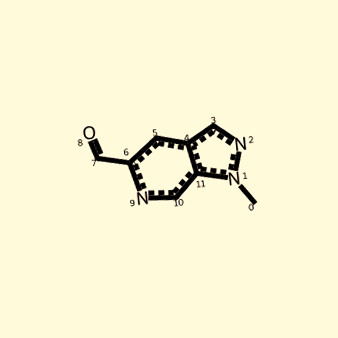 Cn1ncc2cc(C=O)ncc21